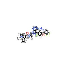 CCN(CC)CC1(C=C(C#N)C(=O)N2CCC[C@@H]2Cn2nc(-c3ccc(Oc4cccc(F)c4F)cc3F)c3c(N)ncnc32)CCCC1